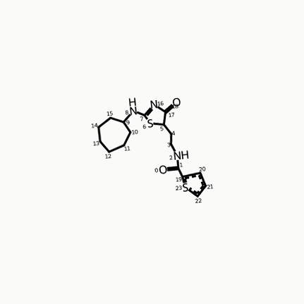 O=C(NCCC1SC(NC2CCCCCC2)=NC1=O)c1cccs1